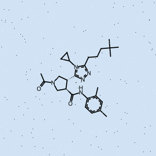 CC(=O)N1C[C@H](C(=O)Nc2ccc(C)cc2C)[C@@H](c2nnc(CCCC(C)(C)C)n2C2CC2)C1